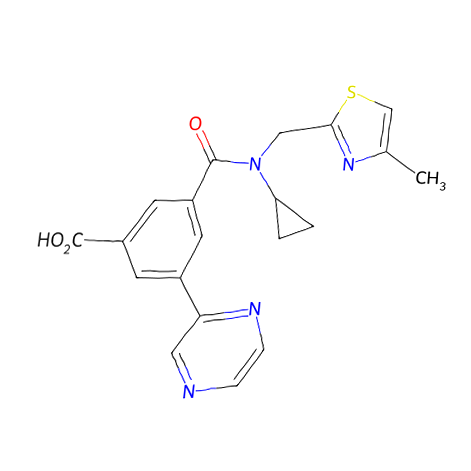 Cc1csc(CN(C(=O)c2cc(C(=O)O)cc(-c3cnccn3)c2)C2CC2)n1